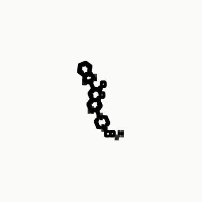 O=C(O)N1CCN(c2cc3oc(=O)c(-c4nc5ccccc5s4)cc3cn2)CC1